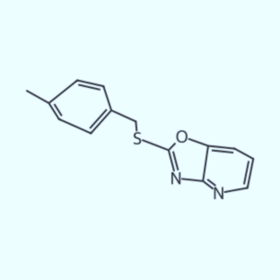 Cc1ccc(CSc2nc3ncccc3o2)cc1